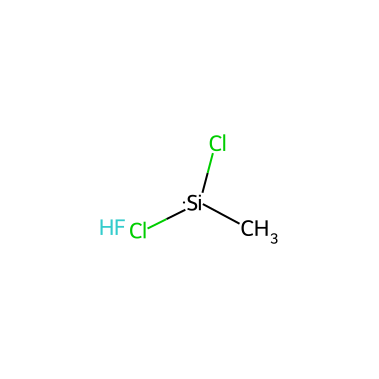 C[Si](Cl)Cl.F